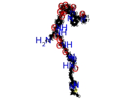 CC[C@H]1CC1(C)Sc1ncc(C#CCCCC(=O)NCc2cn(CCOCCNC(=O)COCC(=O)N[C@@H](CCCCN)C(=O)Nc3ccc(COC(=O)O[C@]4(CC)C(=O)OCc5c4cc4n(c5=O)Cc5c-4nc4ccccc4c5CCN(C(C)=O)C(C)C)cc3)nn2)cn1